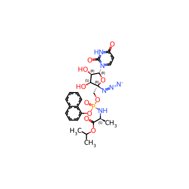 CC(C)OC(=O)[C@H](C)NP(=O)(OC[C@@]1(N=[N+]=[N-])O[C@@H](n2ccc(=O)[nH]c2=O)[C@H](O)[C@@H]1O)Oc1cccc2ccccc12